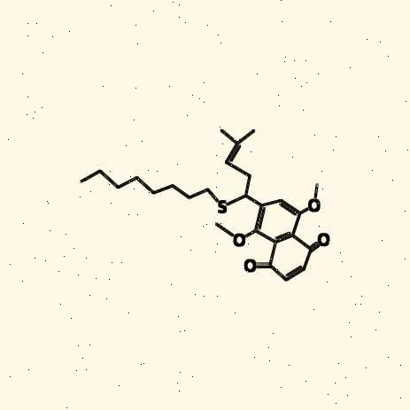 CCCCCCCCSC(CC=C(C)C)c1cc(OC)c2c(c1OC)C(=O)C=CC2=O